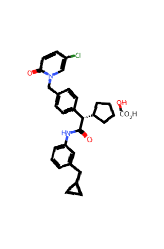 O=C(Nc1cccc(CC2CC2)c1)[C@H](c1ccc(Cn2cc(Cl)ccc2=O)cc1)C1CCCC1.O=C(O)O